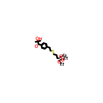 CCO[Si](CCCSCCc1ccc(C(=O)C(C)(C)O)cc1)(OCC)OCC